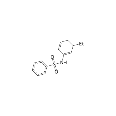 CCC1C=C(NS(=O)(=O)c2ccccc2)C=CC1